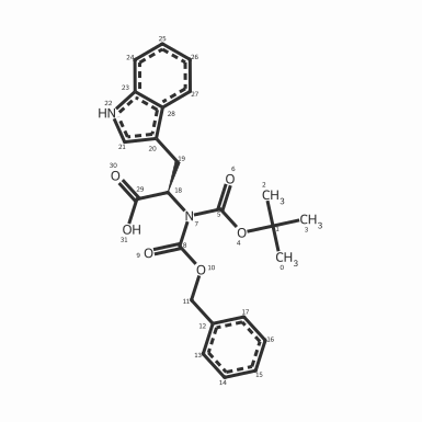 CC(C)(C)OC(=O)N(C(=O)OCc1ccccc1)[C@H](Cc1c[nH]c2ccccc12)C(=O)O